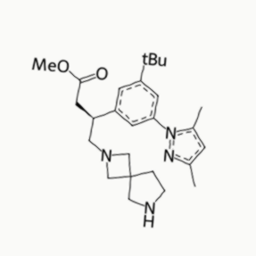 COC(=O)C[C@H](CN1CC2(CCNC2)C1)c1cc(-n2nc(C)cc2C)cc(C(C)(C)C)c1